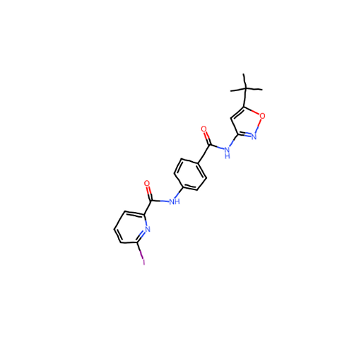 CC(C)(C)c1cc(NC(=O)c2ccc(NC(=O)c3cccc(I)n3)cc2)no1